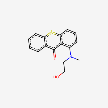 CN(CCO)c1cccc2sc3ccccc3c(=O)c12